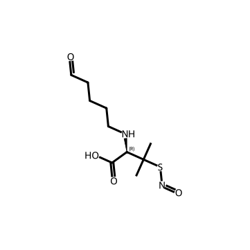 CC(C)(SN=O)[C@H](NCCCCC=O)C(=O)O